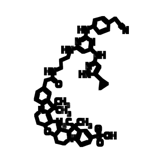 CC1(C)C2=C3C=C4C5=[N+](CCC4OC3CCN2c2ccc(CC(=O)NCCCNc3cc(Nc4cc(C6CC6)[nH]n4)nc(Nc4ccc(CC#N)cc4)n3)cc21)c1ccc(S(=O)(=O)O)cc1C5(C)C